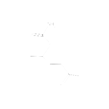 CC(=O)CCC(C)OC(N)=O